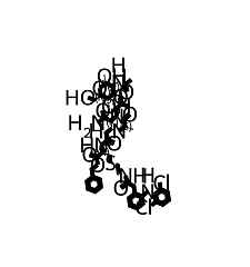 CC(=O)N[C@@H]1[C@@H](OC(C)CN(C(=O)[C@H](C)N)[C@H](CCC(=O)N[C@@H](CSCCNC(=O)Cc2ccccc2Nc2c(Cl)cccc2Cl)C(=O)OCc2ccccc2)C(N)=O)[C@H](O)[C@@H](CO)O[C@@H]1O